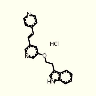 C(=Cc1cncc(OCCc2c[nH]c3ccccc23)c1)c1ccncc1.Cl